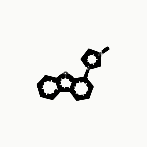 C[n+]1ccn(-c2cccc3c2oc2ccccc23)c1